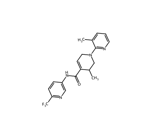 Cc1cccnc1N1CC=C(C(=O)Nc2ccc(C(F)(F)F)nc2)C(C)C1